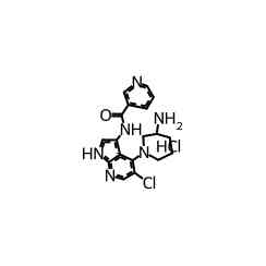 Cl.NC1CCCN(c2c(Cl)cnc3[nH]cc(NC(=O)c4cccnc4)c23)C1